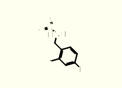 O=[SH](=O)NCc1ccc(F)cc1I